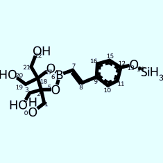 OCC1(CO)OB(C=Cc2ccc(O[SiH3])cc2)OC1(CO)CO